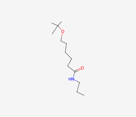 CCCNC(=O)CCCCCOC(C)(C)C